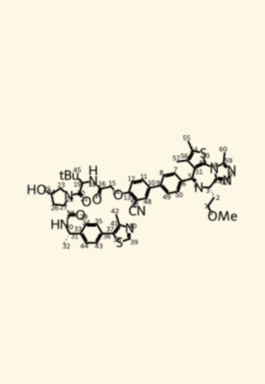 COCC[C@@H]1N=C(c2ccc(-c3ccc(OCC(=O)NC(C(=O)N4C[C@H](O)C[C@H]4C(=O)N[C@@H](C)c4ccc(-c5scnc5C)cc4)C(C)(C)C)c(C#N)c3)cc2)c2c(sc(C)c2C)-n2c(C)nnc21